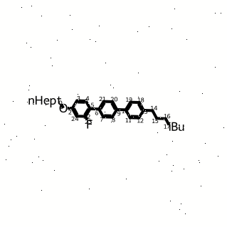 CCCCCCCOc1ccc(-c2ccc(-c3ccc(CCCC(C)CC)cc3)cc2)c(F)c1